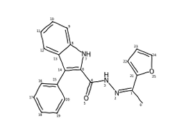 CC(=NNC(=O)c1[nH]c2ccccc2c1-c1ccccc1)c1ccco1